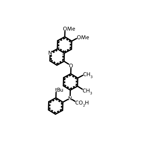 COc1cc2nccc(Oc3ccc(N(C(=O)O)c4ccccc4C(C)(C)C)c(C)c3C)c2cc1OC